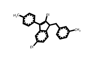 CCC1=C(c2ccc(C)cc2)c2cc(CC)ccc2C1Cc1cccc(C)c1